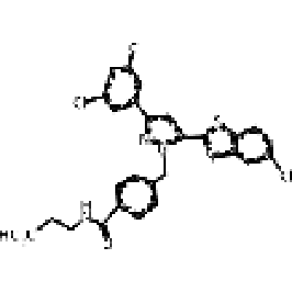 O=C(O)CCNC(=O)c1ccc(Cn2nc(-c3cc(Cl)cc(Cl)c3)cc2-c2nc3cc(Cl)ccc3s2)cc1